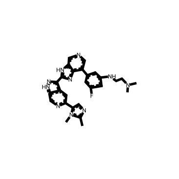 Cc1ncc(-c2cc3c(-c4nc5c(-c6cc(F)cc(NCCN(C)C)c6)cncc5[nH]4)n[nH]c3cn2)n1C